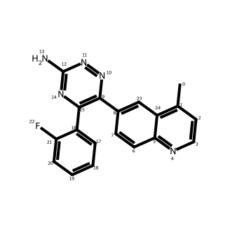 Cc1ccnc2ccc(-c3nnc(N)nc3-c3ccccc3F)cc12